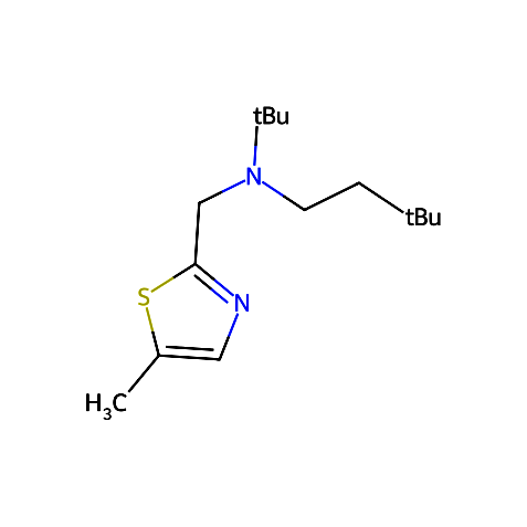 Cc1cnc(CN(CCC(C)(C)C)C(C)(C)C)s1